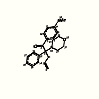 C=CCC(C(=O)c1ccc(SC)cc1)(c1ccccc1)N1CCOCC1